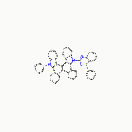 c1ccc(-c2nc(-n3c4ccccc4c4c5c(c6ccccc6c6c5c5ccccc5n6-c5ccccc5)c5ccccc5c43)nc3ccccc23)cc1